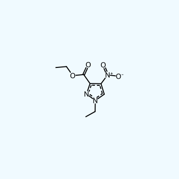 CCOC(=O)c1nn(CC)cc1[N+](=O)[O-]